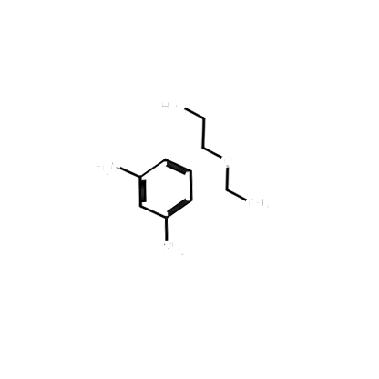 CCCOCC.Nc1cccc(N)c1